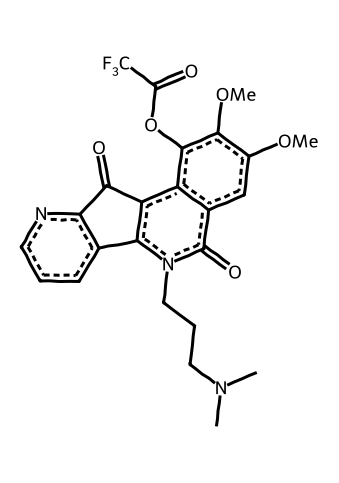 COc1cc2c(=O)n(CCCN(C)C)c3c(c2c(OC(=O)C(F)(F)F)c1OC)C(=O)c1ncccc1-3